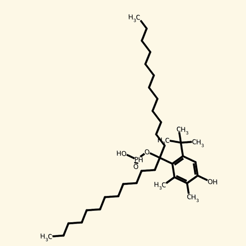 CCCCCCCCCCCCC(CCCCCCCCCCCC)(O[PH](=O)O)c1c(C(C)(C)C)cc(O)c(C)c1C